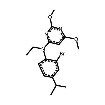 CCN(c1cc(OC)nc(OC)n1)c1ccc(C(C)C)cc1Br